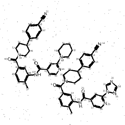 Cc1ccc(C(=O)N2CCC(c3ccc(C#N)cc3)CC2)cc1NC(=O)c1ccnc(-n2cncn2)c1.Cc1ccc(C(=O)N2CCC(c3ccc(C#N)cc3)CC2)cc1NC(=O)c1ccnc(N2CCCCC2)c1